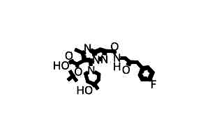 Cc1nc2cc(C(=O)NCC(=O)Cc3ccc(F)cc3)nn2c(N2CCC(C)(O)CC2)c1C(OC(C)(C)C)C(=O)O